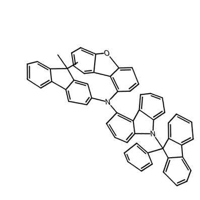 CC1(C)c2ccccc2-c2ccc(N(c3cccc4oc5ccccc5c34)c3cccc4c3c3ccccc3n4C3(c4ccccc4)c4ccccc4-c4ccccc43)cc21